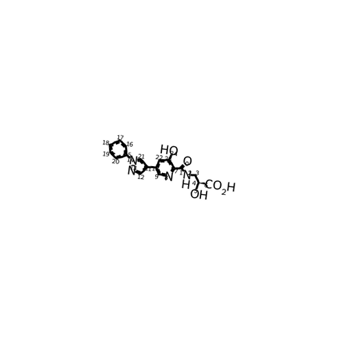 O=C(NC[C@H](O)C(=O)O)c1ncc(-c2cnn(-c3ccccc3)c2)cc1O